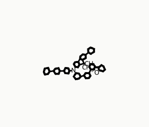 CC1(C)c2cc(-c3ccccc3)ccc2-c2ccc(N(c3ccc(-c4ccc(-c5ccccc5)cc4)cc3)c3cccc(-c4cccc(-c5cccc6c5oc5ccccc56)c4)c3)cc21